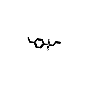 [CH2]Cc1ccc(S(=O)(=O)CC=C)cc1